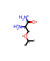 CC(C)OCC(N)C(N)=O